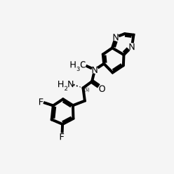 CN(C(=O)[C@@H](N)Cc1cc(F)cc(F)c1)c1ccc2nccnc2c1